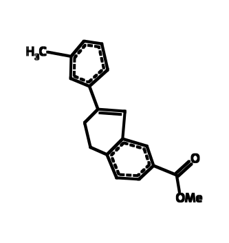 COC(=O)c1ccc2c(c1)C=C(c1cccc(C)c1)CC2